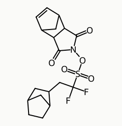 O=C1C2C3C=CC(C3)C2C(=O)N1OS(=O)(=O)C(F)(F)CC1CC2CCC1C2